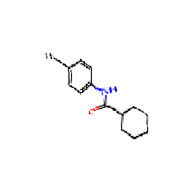 C[CH]c1ccc(NC(=O)C2CCCCC2)cc1